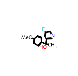 COc1ccc(C(C)(O)c2cncc(F)c2)cc1